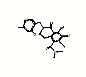 CN(C)C(=O)c1c2c(c(O)c(=O)n1C)C(=O)N(Cc1ccc(F)cc1Cl)CC2